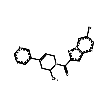 CC1CC(c2cncnc2)=CCN1C(=O)c1cc2ncc(Br)cn2n1